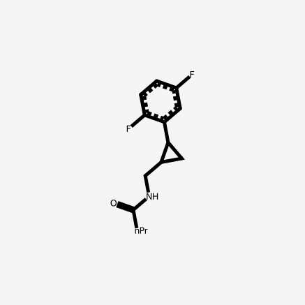 CCCC(=O)NCC1CC1c1cc(F)ccc1F